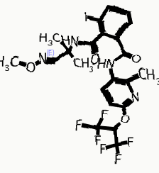 CO/N=C/C(C)(C)NC(=O)c1c(I)cccc1C(=O)Nc1ccc(OC(C(F)(F)F)C(F)(F)F)nc1C